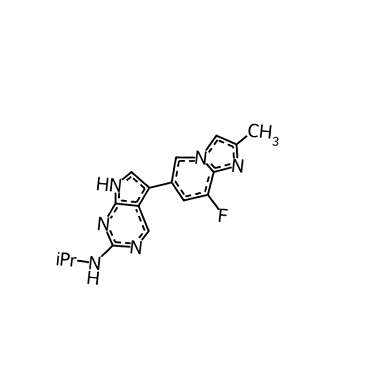 Cc1cn2cc(-c3c[nH]c4nc(NC(C)C)ncc34)cc(F)c2n1